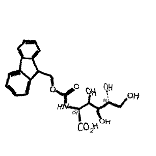 O=C(N[C@H](C(=O)O)C(O)C(O)[C@H](O)CO)OCC1c2ccccc2-c2ccccc21